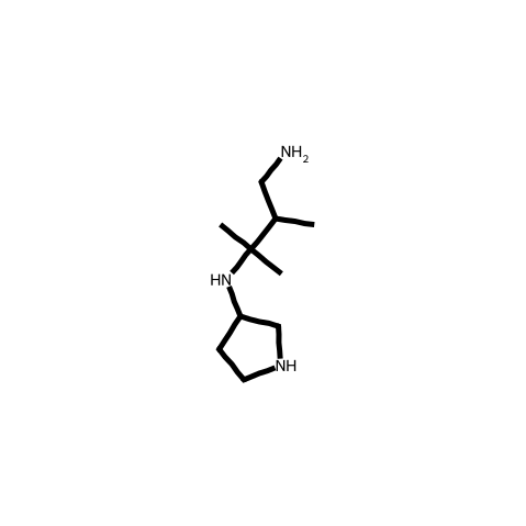 CC(CN)C(C)(C)NC1CCNC1